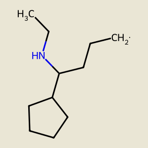 [CH2]CCC(NCC)C1CCCC1